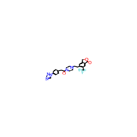 O=C1OCc2cc(CCN3CCN(C(=O)Cc4ccc(-n5cncn5)cc4)CC3)c(C(F)(F)F)cc21